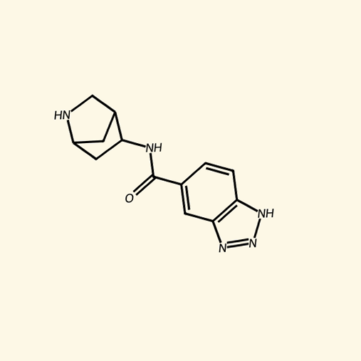 O=C(NC1CC2CC1CN2)c1ccc2[nH]nnc2c1